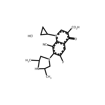 CC1CN(c2c(F)cc3c(=O)c(C(=O)O)cn(C4CC4)c3c2C#N)CC(C)N1.Cl